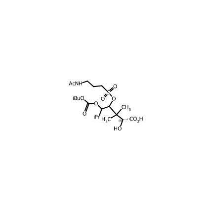 CC(=O)NCCCS(=O)(=O)OC(C(OC(=O)OCC(C)C)C(C)C)C(C)(C)[C@@H](O)C(=O)O